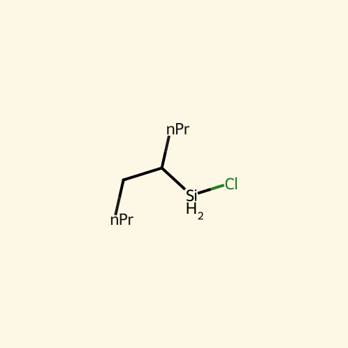 CCCCC(CCC)[SiH2]Cl